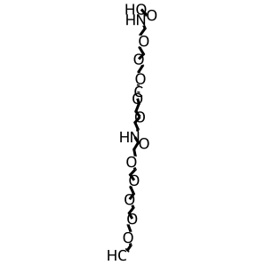 C#CCOCCOCCOCCOCCOCCC(=O)NCCOCCOCCOCCOCCOCCNC(=O)O